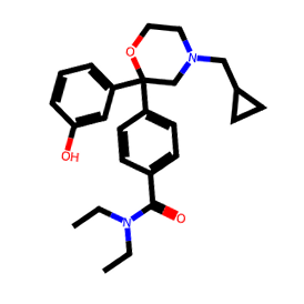 CCN(CC)C(=O)c1ccc(C2(c3cccc(O)c3)CN(CC3CC3)CCO2)cc1